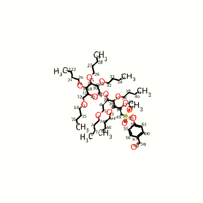 CCCCOCC[C@@H](O[C@@H]1OC(COCCCC)[C@@H](OCCCC)C(OCCCC)[C@@H]1OCCCC)C(OCCCC)[C@H](OCCCC)[C@H](CS(=O)(=O)Oc1ccc(C=O)cc1)OC